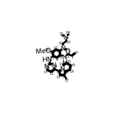 C=CC(=O)Nc1cc(Nc2nccc(-c3cc(C)c4ccccn34)n2)c(OC)cc1N(C)CCN(C)C